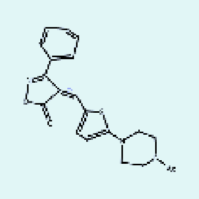 CC(=O)N1CCN(c2ccc(/C=C3\C(=O)ON=C3c3ccccc3)s2)CC1